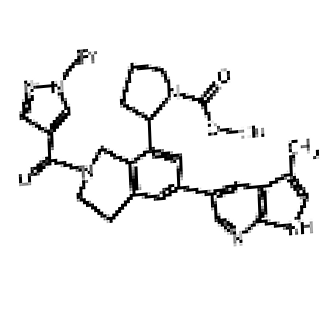 Cc1c[nH]c2ncc(-c3cc4c(c(C5CCCN5C(=O)OC(C)(C)C)c3)CN(C(=O)c3cnn(C(C)C)c3)CC4)cc12